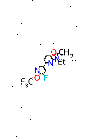 C=C1Oc2ccc(-c3cnc(OCC(F)(F)F)c(F)c3)nc2N1CC